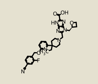 CCC1(c2cccc(OCc3ccc(C#N)cc3F)n2)CCN(Cc2nc3[nH]c(C(=O)O)nc3n2C[C@@H]2CCO2)CC1